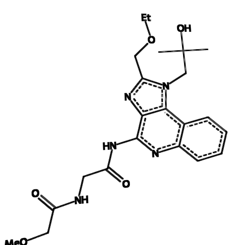 CCOCc1nc2c(NC(=O)CNC(=O)COC)nc3ccccc3c2n1CC(C)(C)O